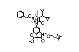 COC(=O)[C@]1(C)C(=O)N(COCC[Si](C)(C)C)c2cc(NC(=O)[C@@H](NC(=O)OCc3ccccc3)C(C3CC3)C3CC3)ccc21